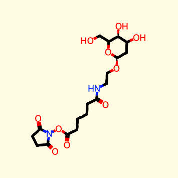 O=C(CCCCC(=O)ON1C(=O)CCC1=O)NCCO[C@@H]1CC(O)[C@H](O)C(CO)O1